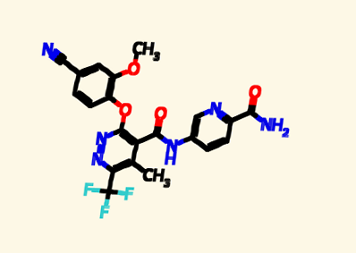 COc1cc(C#N)ccc1Oc1nnc(C(F)(F)F)c(C)c1C(=O)Nc1ccc(C(N)=O)nc1